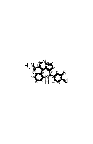 NC(=O)c1cnn2ccc3c2c1-c1ccccc1NC3c1ccc(Cl)c(F)c1